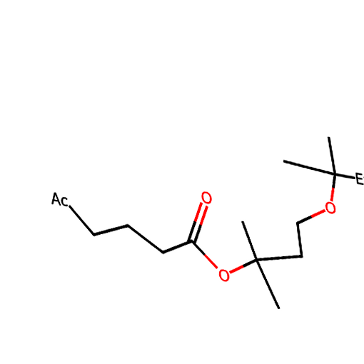 CCC(C)(C)OCCC(C)(C)OC(=O)CCCC(C)=O